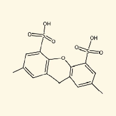 Cc1cc2c(c(S(=O)(=O)O)c1)Oc1c(cc(C)cc1S(=O)(=O)O)C2